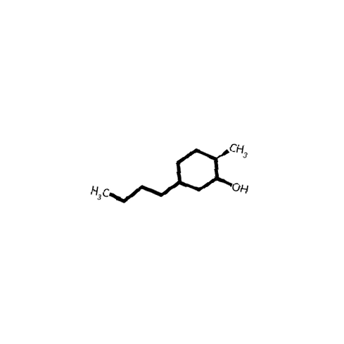 CCCCC1CC[C@@H](C)C(O)C1